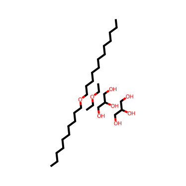 CCCCCCCCCCCCOCCCCCCCCCC.CCOCC.OCC(O)CO.OCC(O)CO